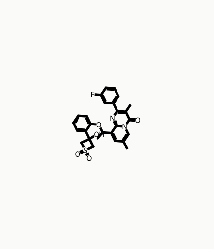 Cc1cc(C(C)Oc2ccccc2C2(O)CS(=O)(=O)C2)c2nc(-c3cccc(F)c3)c(C)c(=O)n2c1